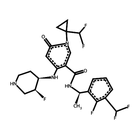 C[C@@H](NC(=O)c1cn(C2(C(F)F)CC2)c(=O)cc1N[C@@H]1CCNC[C@@H]1F)c1cccc(C(F)F)c1F